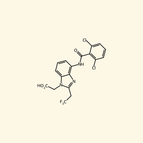 O=C(O)Cn1c(CC(F)(F)F)nc2c(NC(=O)c3c(Cl)cccc3Cl)cccc21